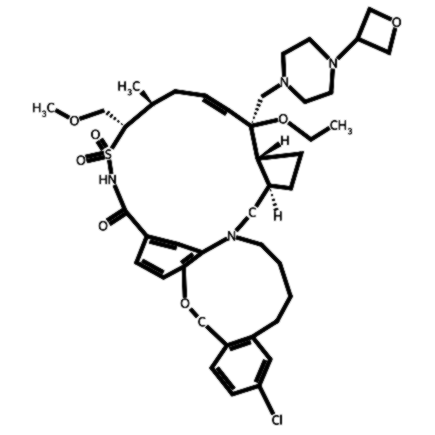 CCO[C@]1(CN2CCN(C3COC3)CC2)/C=C/C[C@H](C)[C@@H](COC)S(=O)(=O)NC(=O)c2ccc3c(c2)N(CCCCc2cc(Cl)ccc2CO3)C[C@@H]2CC[C@H]21